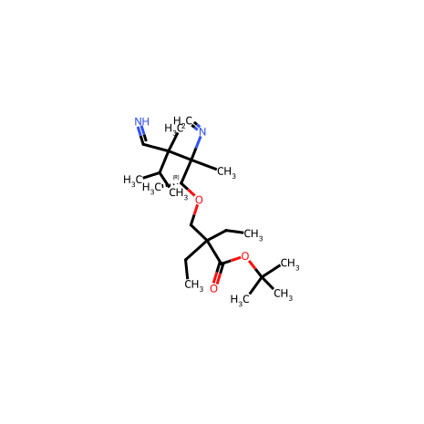 C=NC(C)([C@@H](C)OCC(CC)(CC)C(=O)OC(C)(C)C)C(C)(C=N)C(C)C